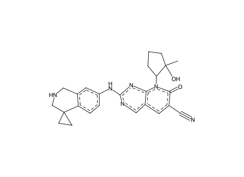 CC1(O)CCCC1n1c(=O)c(C#N)cc2cnc(Nc3ccc4c(c3)CNCC43CC3)nc21